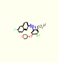 O=C(O)c1cc(Cl)c(OC2CCOCC2)cc1Nc1ccc2cc(F)ccc2c1